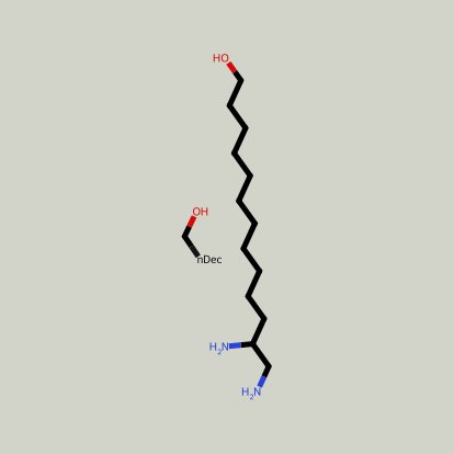 CCCCCCCCCCCO.NCC(N)CCCCCCCCCCCO